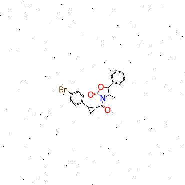 CC1C(c2ccccc2)OC(=O)N1C(=O)C1CC1c1ccc(Br)cc1